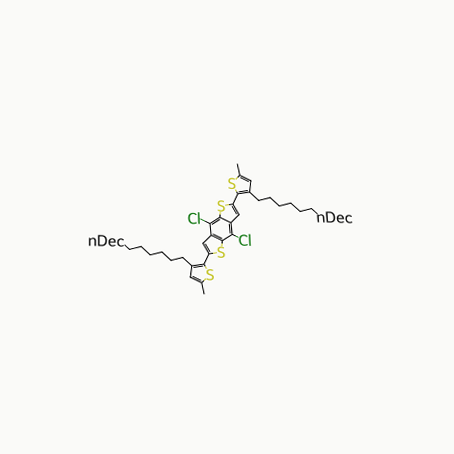 CCCCCCCCCCCCCCCCc1cc(C)sc1-c1cc2c(Cl)c3sc(-c4sc(C)cc4CCCCCCCCCCCCCCCC)cc3c(Cl)c2s1